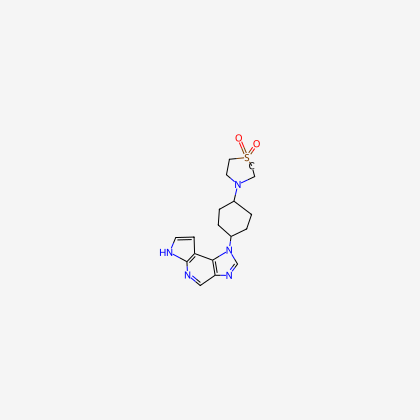 O=S1(=O)CCN(C2CCC(n3cnc4cnc5[nH]ccc5c43)CC2)CC1